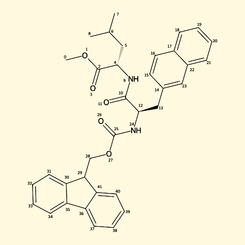 COC(=O)[C@H](CC(C)C)NC(=O)[C@@H](Cc1ccc2ccccc2c1)NC(=O)OCC1c2ccccc2-c2ccccc21